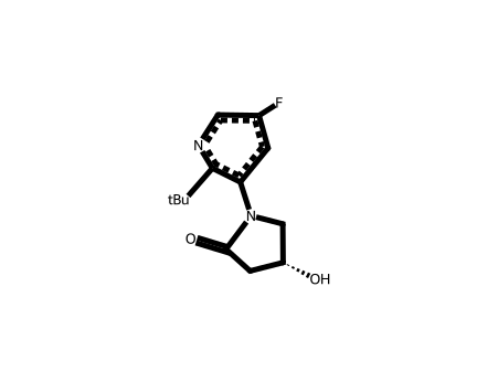 CC(C)(C)c1ncc(F)cc1N1C[C@H](O)CC1=O